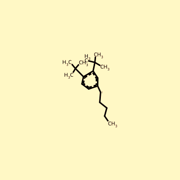 CCCC[C]c1ccc(C(C)(C)C)c(C(C)(C)C)c1